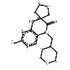 O=C1N(CC2CCOCC2)c2cnc(Cl)nc2NC12CCOC2